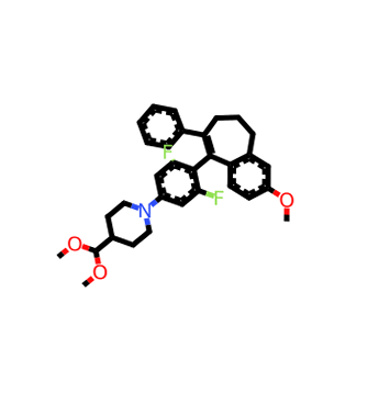 COc1ccc2c(c1)CCCC(c1ccccc1)=C2c1c(F)cc(N2CCC(C(OC)OC)CC2)cc1F